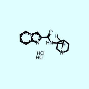 Cl.Cl.O=C(N[C@H]1CN2CCC1CC2)c1cn2ccccc2n1